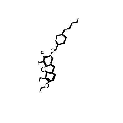 CCCCCC1CCC(COc2cc3c(c(F)c2F)Oc2c(ccc(OCC)c2F)C3)CC1